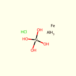 Cl.O[Si](O)(O)O.[AlH3].[Fe]